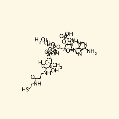 CC(C)(COP(=O)(O)OP(=O)(O)OC[C@H]1O[C@@H](n2cnc3c(N)ncnc32)[C@H](O)[C@@H]1OP(=O)(O)O)[C@@H](O)C(=O)NCCC(=O)NCCS.O.[Li].[Li].[Li]